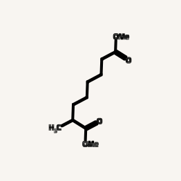 COC(=O)CCCCCC(C)C(=O)OC